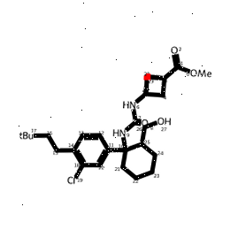 COC(=O)C12CC(NC(=O)NC3(c4ccc(CCC(C)(C)C)c(Cl)c4)CCCCC3CO)(C1)C2